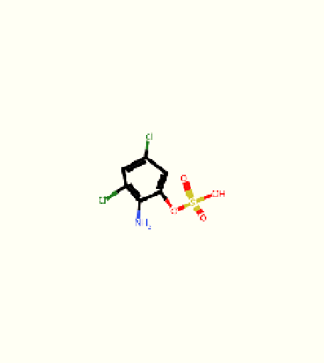 Nc1c(Cl)cc(Cl)cc1OS(=O)(=O)O